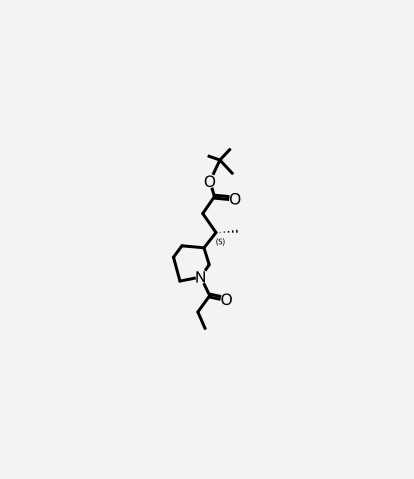 CCC(=O)N1CCCC([C@@H](C)CC(=O)OC(C)(C)C)C1